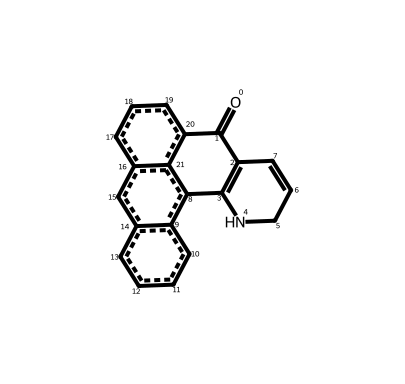 O=C1C2=C(NCC=C2)c2c3ccccc3cc3cccc1c23